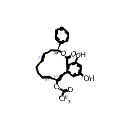 O=C1O[C@H](c2ccccc2)C/C=C/CC/C=C/C(OC(=O)C(F)(F)F)=C/c2cc(O)cc(O)c21